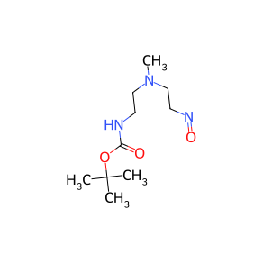 CN(CCN=O)CCNC(=O)OC(C)(C)C